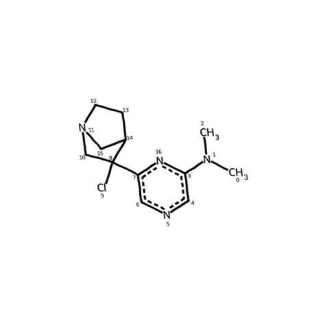 CN(C)c1cncc(C2(Cl)CN3CCC2C3)n1